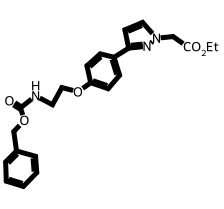 CCO[14C](=O)Cn1ccc(-c2ccc(OCCNC(=O)OCc3ccccc3)cc2)n1